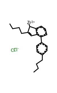 CCCCC1=Cc2c(-c3ccc(CCCC)cc3)cccc2[CH]1[Zr+2].[Cl-].[Cl-]